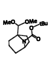 COC(OC)C12CCCC(CC1)N2C(=O)OC(C)(C)C